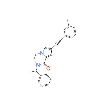 Cc1cccc(C#Cc2cc3n(c2)CCN(C(C)c2ccccc2)C3=O)c1